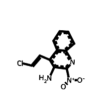 Nc1c([N+](=O)[O-])nc2ccccc2c1C=CCl